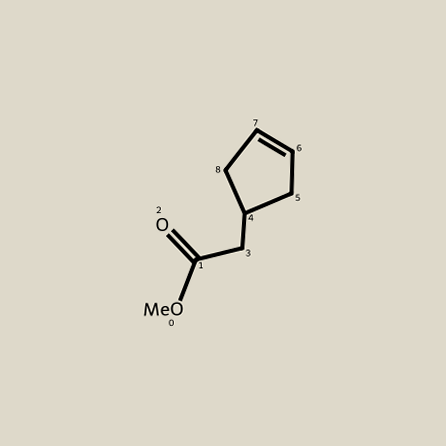 COC(=O)CC1CC=CC1